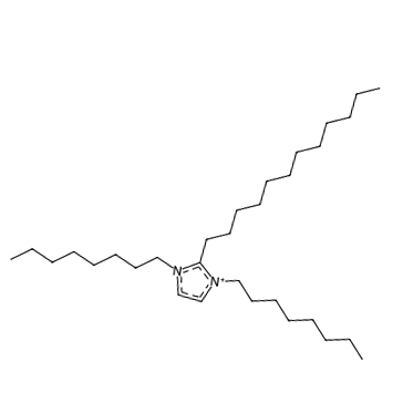 CCCCCCCCCCCCc1n(CCCCCCCC)cc[n+]1CCCCCCCC